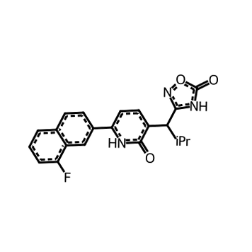 CC(C)C(c1noc(=O)[nH]1)c1ccc(-c2ccc3cccc(F)c3c2)[nH]c1=O